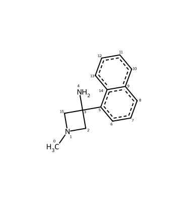 CN1CC(N)(c2cccc3ccccc23)C1